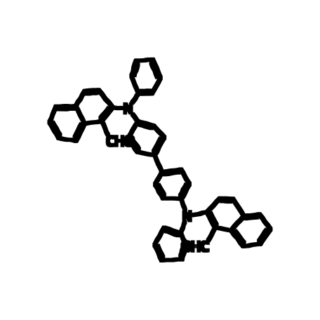 O=Cc1c(N(c2ccccc2)c2ccc(-c3ccc(N(c4ccccc4)c4ccc5ccccc5c4C=O)cc3)cc2)ccc2ccccc12